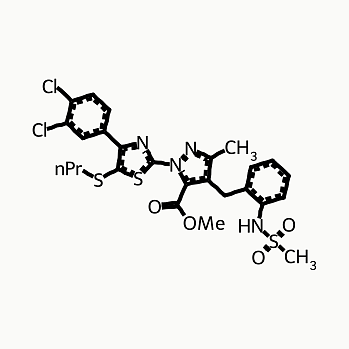 CCCSc1sc(-n2nc(C)c(Cc3ccccc3NS(C)(=O)=O)c2C(=O)OC)nc1-c1ccc(Cl)c(Cl)c1